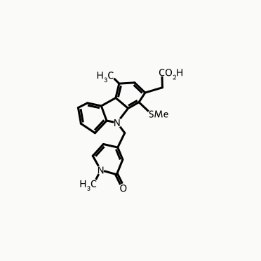 CSc1c(CC(=O)O)cc(C)c2c3ccccc3n(Cc3ccn(C)c(=O)c3)c12